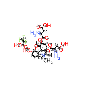 CN1CC[C@]23c4c5ccc(O)c4O[C@H]2C(OC(=O)C(N)CC(=O)O)=CC[C@@]3(OC(=O)C(N)CC(=O)O)[C@H]1C5.O=C(O)C(F)(F)F